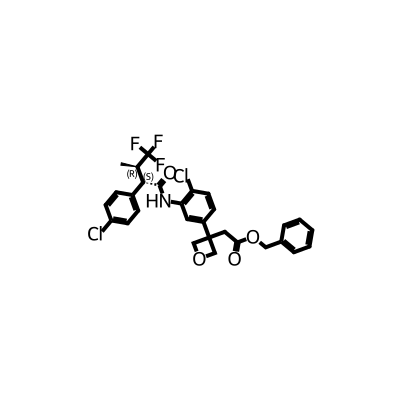 C[C@H]([C@H](C(=O)Nc1cc(C2(CC(=O)OCc3ccccc3)COC2)ccc1Cl)c1ccc(Cl)cc1)C(F)(F)F